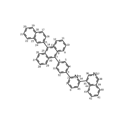 c1cc(-c2ccc(-c3c4ccccc4c(-c4ccc5ccccc5c4)c4ccccc34)cc2)nc(-c2cncc3ccccc23)c1